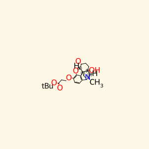 CN1CC[C@@]23c4c5ccc(OCCC(=O)OC(C)(C)C)c4O[C@@H]2C(=O)CC[C@]3(O)[C@@H]1C5